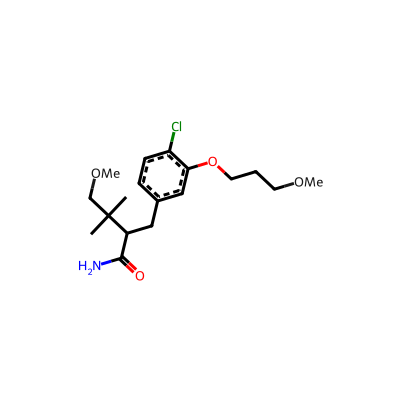 COCCCOc1cc(CC(C(N)=O)C(C)(C)COC)ccc1Cl